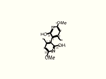 COc1cc(C)c(-c2c(C)cc(OC)nc2O)c(O)n1